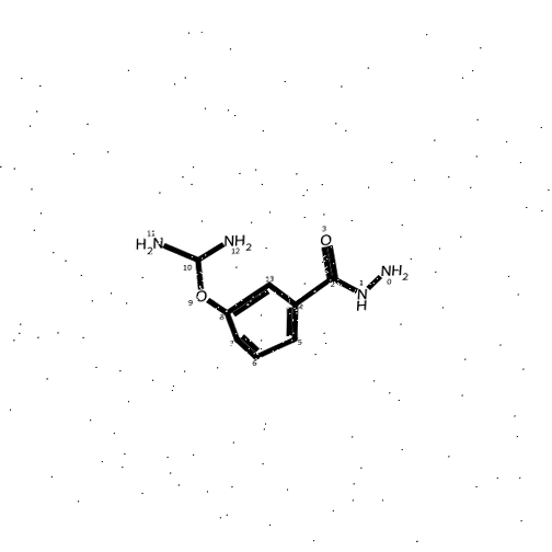 NNC(=O)c1cccc(OC(N)N)c1